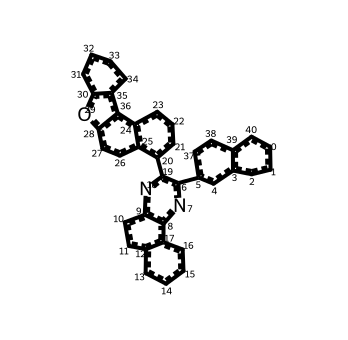 c1ccc2cc(-c3nc4c(ccc5ccccc54)nc3-c3cccc4c3ccc3oc5ccccc5c34)ccc2c1